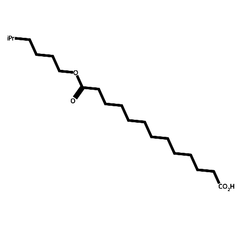 CC(C)CCCCOC(=O)CCCCCCCCCCCC(=O)O